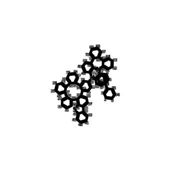 c1ccc(-c2cccc(N(c3ccc4c(c3)c3ccccc3c3ccccc3c3ccccc3c3c4ccc4c5ccccc5sc43)c3cccc4c3N(c3ccccc3)c3ccccc3-c3ccccc3-4)c2)cc1